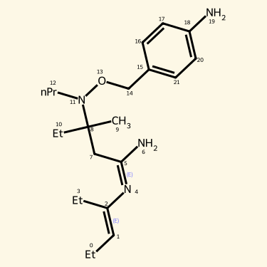 CC/C=C(CC)/N=C(/N)CC(C)(CC)N(CCC)OCc1ccc(N)cc1